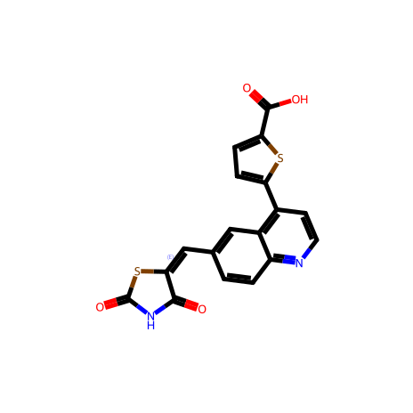 O=C1NC(=O)/C(=C\c2ccc3nccc(-c4ccc(C(=O)O)s4)c3c2)S1